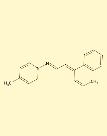 C\C=C/C(=C\C=N\N1C=CC(C)=CC1)c1ccccc1